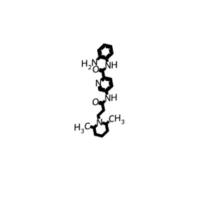 CC1CCCC(C)N1CCC(=O)Nc1ccc(C(=O)Nc2ccccc2N)nc1